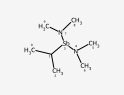 C[CH](C)[Sb]([N](C)C)[N](C)C